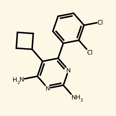 Nc1nc(N)c(C2CCC2)c(-c2cccc(Cl)c2Cl)n1